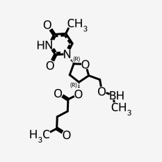 CBOCC1O[C@@H](n2cc(C)c(=O)[nH]c2=O)C[C@H]1OC(=O)CCC(C)=O